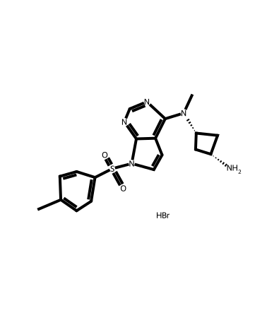 Br.Cc1ccc(S(=O)(=O)n2ccc3c(N(C)[C@H]4C[C@@H](N)C4)ncnc32)cc1